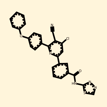 N#Cc1c(Cl)cc(-c2cccc(C(=O)Nc3nncs3)c2)nc1-c1ccc(Oc2ccccc2)cc1